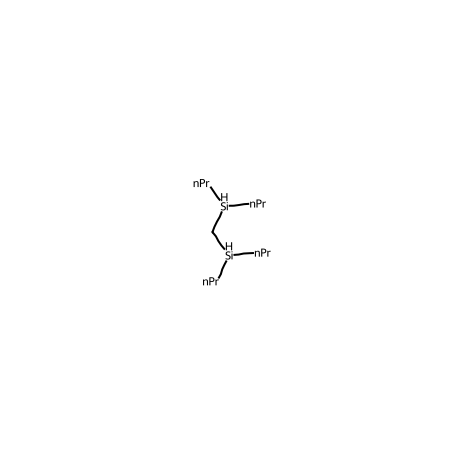 CCC[SiH](CCC)C[SiH](CCC)CCC